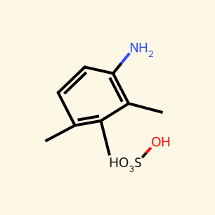 Cc1ccc(N)c(C)c1C.O=S(=O)(O)O